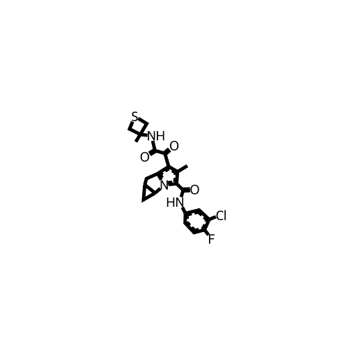 Cc1c(C(=O)C(=O)NC2(C)CSC2)c2n(c1C(=O)Nc1ccc(F)c(Cl)c1)C1CC1C2